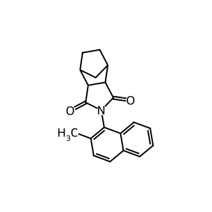 Cc1ccc2ccccc2c1N1C(=O)C2C3CCC(C3)C2C1=O